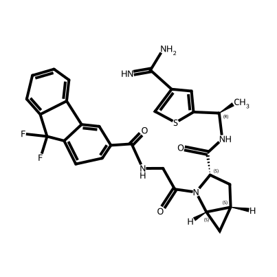 C[C@@H](NC(=O)[C@@H]1C[C@@H]2C[C@@H]2N1C(=O)CNC(=O)c1ccc2c(c1)-c1ccccc1C2(F)F)c1cc(C(=N)N)cs1